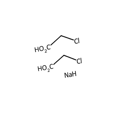 O=C(O)CCl.O=C(O)CCl.[NaH]